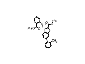 COC(=O)c1ccncc1NC[C@H]1c2ccc(-c3ccccc3C)cc2CN1C(=O)OC(C)(C)C